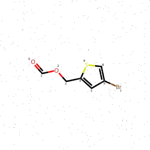 O=COCc1cc(Br)cs1